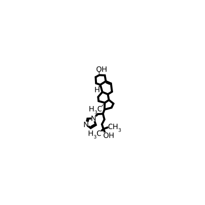 CC(C)(O)CCC(Cn1ccnc1)C1CCC2C3CC=C4C[C@@H](O)CC[C@@H]4C3CC[C@]12C